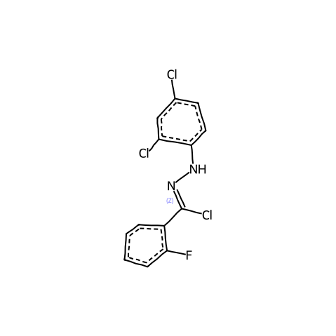 Fc1ccccc1/C(Cl)=N/Nc1ccc(Cl)cc1Cl